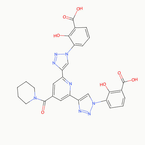 O=C(O)c1cccc(-n2cc(-c3cc(C(=O)N4CCCCC4)cc(-c4cn(-c5cccc(C(=O)O)c5O)nn4)n3)nn2)c1O